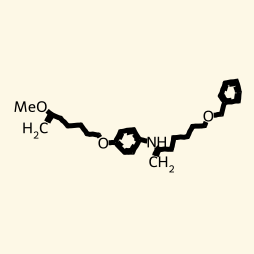 C=C(CCCCCOCc1ccccc1)Nc1ccc(OCCCCCC(=C)OC)cc1